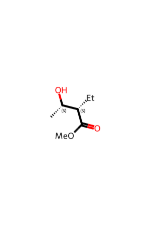 CC[C@H](C(=O)OC)[C@H](C)O